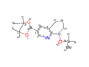 CC1(C)OB(c2cnc3c(c2)CCCC3O[Si](C)(C)C(C)(C)C)OC1(C)C